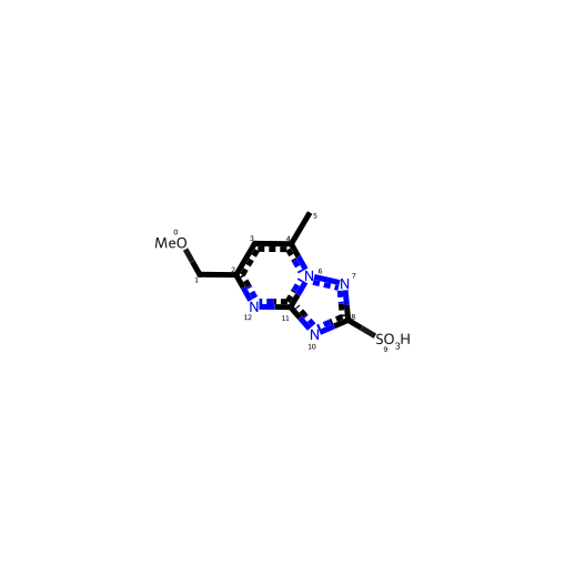 COCc1cc(C)n2nc(S(=O)(=O)O)nc2n1